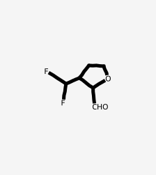 O=CC1OCCC1C(F)F